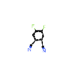 N#Cc1cc(F)c(F)cc1C#N